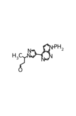 CC(CC=O)n1cc(-c2ncnc3c2ccn3P)cn1